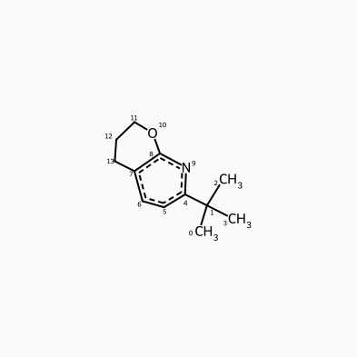 CC(C)(C)c1ccc2c(n1)OCCC2